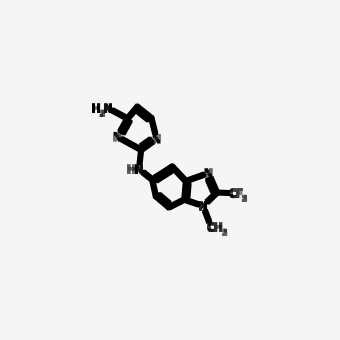 Cn1c(C(F)(F)F)nc2cc(Nc3nccc(N)n3)ccc21